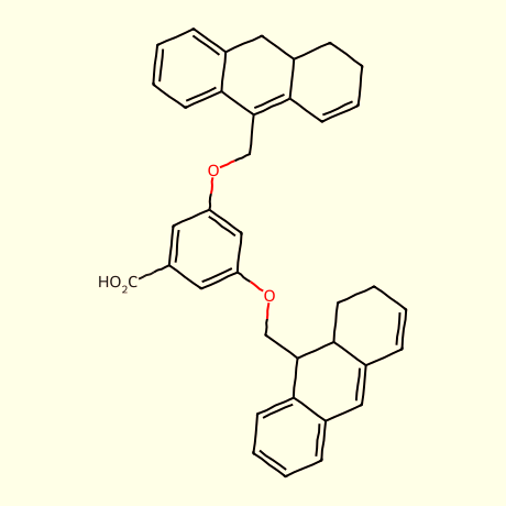 O=C(O)c1cc(OCC2=C3C=CCCC3Cc3ccccc32)cc(OCC2c3ccccc3C=C3C=CCCC32)c1